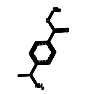 CC(N)c1ccc(C(=O)OC(C)(C)C)cc1